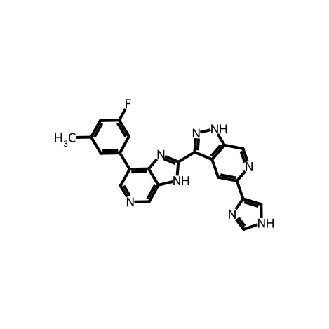 Cc1cc(F)cc(-c2cncc3[nH]c(-c4n[nH]c5cnc(-c6c[nH]cn6)cc45)nc23)c1